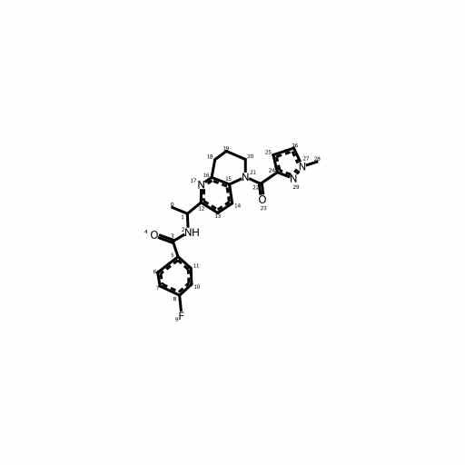 CC(NC(=O)c1ccc(F)cc1)c1ccc2c(n1)CCCN2C(=O)c1ccn(C)n1